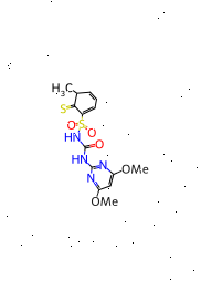 COc1cc(OC)nc(NC(=O)NS(=O)(=O)C2=CC=CC(C)C2=S)n1